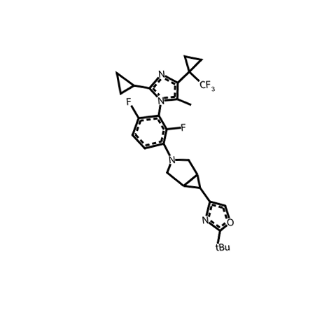 Cc1c(C2(C(F)(F)F)CC2)nc(C2CC2)n1-c1c(F)ccc(N2CC3C(C2)C3c2coc(C(C)(C)C)n2)c1F